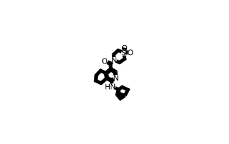 O=C(c1cnc(NC23CCC(CC2)C3)c2c1CCCC2)N1CCS(=O)(=O)CC1